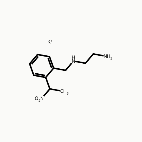 CC(c1ccccc1CNCCN)[N+](=O)[O-].[K+]